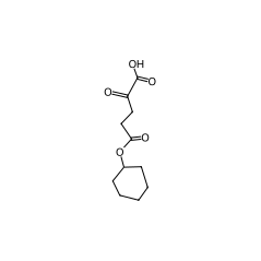 O=C(CCC(=O)C(=O)O)OC1CCCCC1